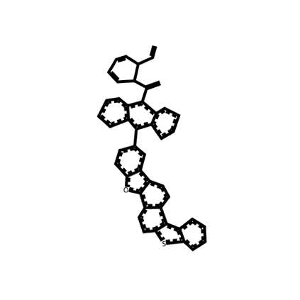 C=CC1C=CC=CC1C(=C)c1c2ccccc2c(-c2ccc3oc4c(ccc5c4ccc4sc6ccccc6c45)c3c2)c2ccccc12